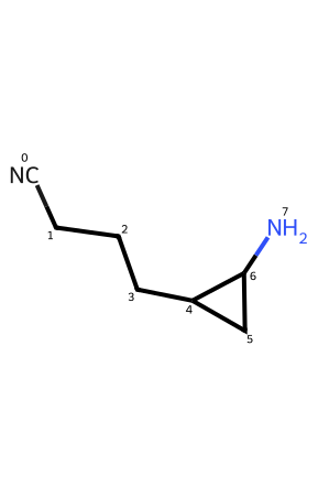 N#CCCCC1CC1N